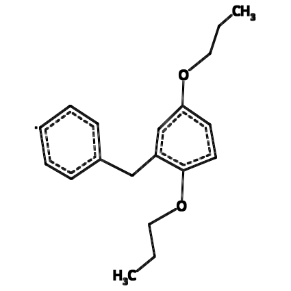 CCCOc1ccc(OCCC)c(Cc2cc[c]cc2)c1